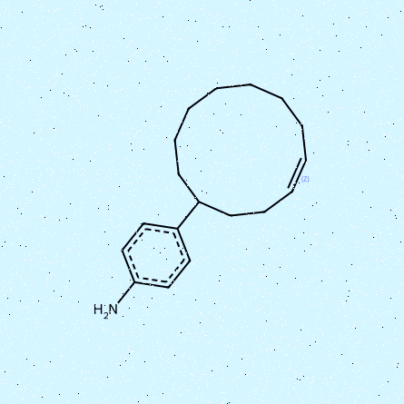 Nc1ccc(C2CC/C=C\CCCCCCC2)cc1